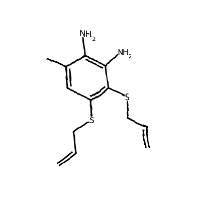 C=CCSc1cc(C)c(N)c(N)c1SCC=C